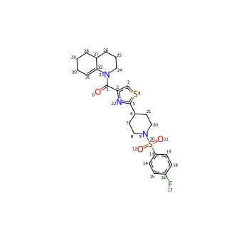 O=C(c1csc(C2CCN(S(=O)(=O)c3ccc(F)cc3)CC2)n1)N1CCCC2CCCC=C21